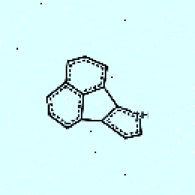 c1cc2c3c(cccc3c1)-c1[nH]ccc1-2